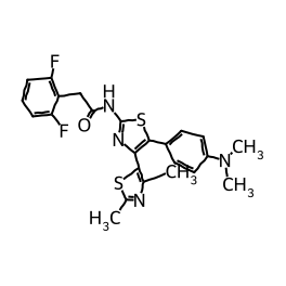 Cc1nc(C)c(-c2nc(NC(=O)Cc3c(F)cccc3F)sc2-c2ccc(N(C)C)cc2)s1